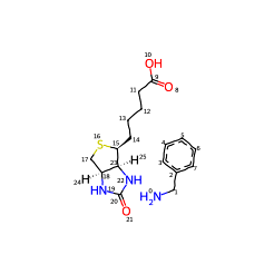 NCc1ccccc1.O=C(O)CCCC[C@@H]1SC[C@@H]2NC(=O)N[C@@H]21